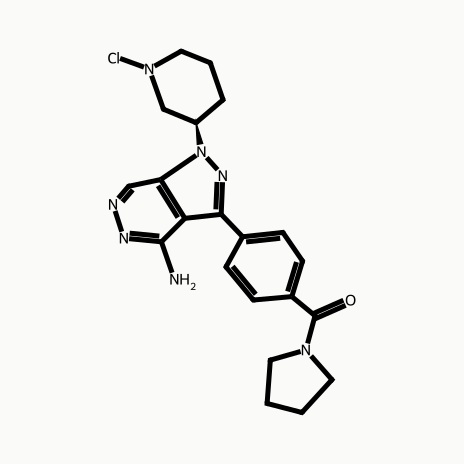 Nc1nncc2c1c(-c1ccc(C(=O)N3CCCC3)cc1)nn2[C@@H]1CCCN(Cl)C1